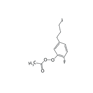 CC(=O)OOc1cc(CCCI)ccc1F